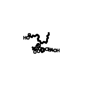 CC(C)(C)C(=O)C(Oc1ccc(Cl)cc1)n1ccnc1.CCCCC/C=C\C/C=C\C/C=C\C/C=C\CCCC(=O)O.C[N+](C)(C)CCO